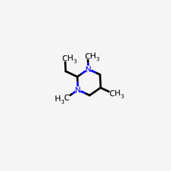 CCC1N(C)CC(C)CN1C